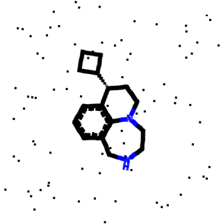 c1cc2c3c(c1)[C@H](C1CCC1)CCN3CCNC2